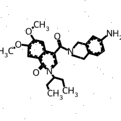 CCC(CC)n1cc(C(=O)N2CCc3ccc(N)cc3C2)c2cc(OC)c(OC)cc2c1=O